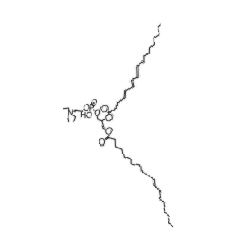 CCCCCCCCCCCCCCCCCC(=O)OCC(COP(=O)(O)OCC[N+](CC)(CC)CC)OC(=O)CCCCCCCCCCCCCCCCC